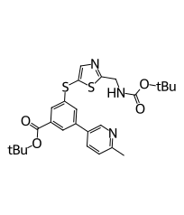 Cc1ccc(-c2cc(Sc3cnc(CNC(=O)OC(C)(C)C)s3)cc(C(=O)OC(C)(C)C)c2)cn1